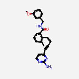 COc1cccc(CNC(=O)c2cccc(C)c2/C=C\C#Cc2ccnc(N)n2)c1